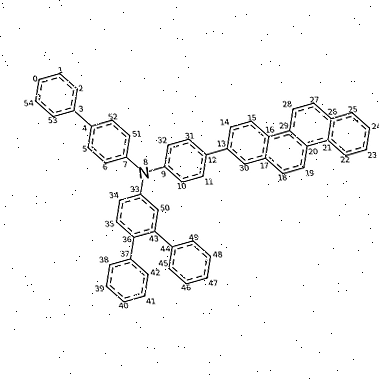 c1ccc(-c2ccc(N(c3ccc(-c4ccc5c(ccc6c7ccccc7ccc56)c4)cc3)c3ccc(-c4ccccc4)c(-c4ccccc4)c3)cc2)cc1